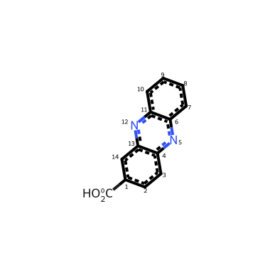 O=C(O)c1ccc2nc3ccccc3nc2c1